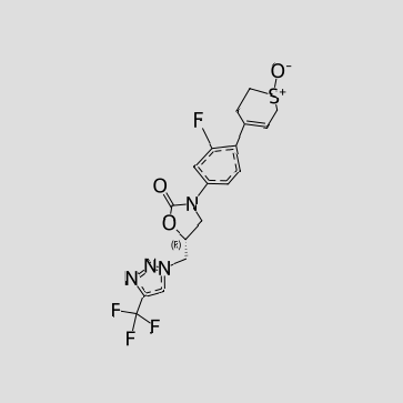 O=C1O[C@@H](Cn2cc(C(F)(F)F)nn2)CN1c1ccc(C2=CC[S+]([O-])CC2)c(F)c1